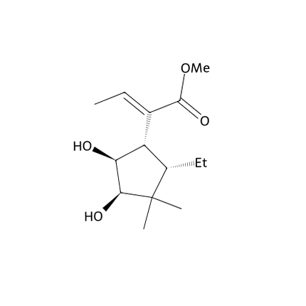 C/C=C(/C(=O)OC)[C@H]1[C@H](O)[C@H](O)C(C)(C)[C@H]1CC